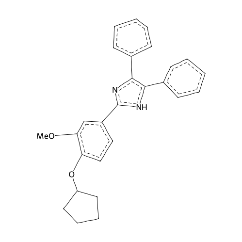 COc1cc(-c2nc(-c3ccccc3)c(-c3ccccc3)[nH]2)ccc1OC1CCCC1